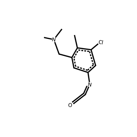 Cc1c(Cl)cc(N=C=O)cc1CN(C)C